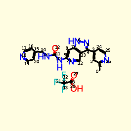 Cc1cc(-c2n[nH]c3cc(NC(=O)NCc4ccncc4)ncc23)ccn1.O=C(O)C(F)(F)F